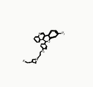 FCC1CN(CCOc2ccc(C3Oc4cc(C(F)(F)F)ccc4-c4cnc5c[c]ccc5c43)cc2)C1